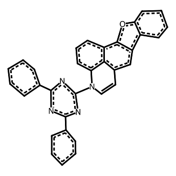 C1=CN(c2nc(-c3ccccc3)nc(-c3ccccc3)n2)c2cccc3c2c1cc1c2ccccc2oc31